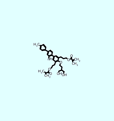 C=C(C)C(=O)OCCCc1cc(-c2ccc(-c3ccc(C)cc3)cc2CCC)cc(CCCOC(=O)C(=C)C)c1OCCC(CO)CO